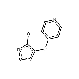 [O]c1nocc1Oc1ccncc1